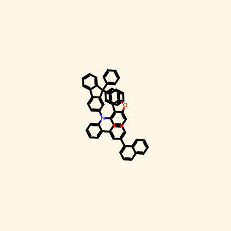 c1ccc(C2(c3ccccc3)c3ccccc3-c3ccc(N(c4ccccc4-c4cccc(-c5cccc6ccccc56)c4)c4cccc5oc6ccccc6c45)cc32)cc1